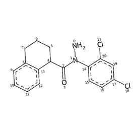 NN(C(=O)C1CCCc2ccccc21)c1ccc(Cl)cc1Cl